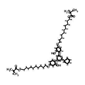 C=C(C)C(=O)OCCCCCCCCCCCOc1ccc(-c2nc(-c3ccccc3)nc(-c3ccc(OCCCCCCCCCCCOC(=O)C(=C)C)cc3O)n2)c(O)c1